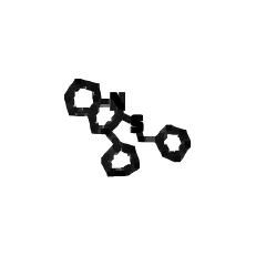 c1ccc(CSc2nc3ccccc3cc2-c2ccccc2)cc1